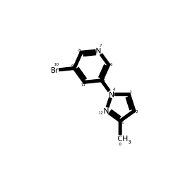 Cc1ccn(-c2cncc(Br)c2)n1